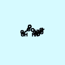 CC(C)(C)OC(=O)N[C@H]1CCCN[C@H]1CO[C@H]1CC[C@@H](c2ccccc2OCCCCC(=O)O)CC1